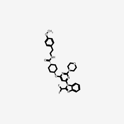 COc1ccc(CCNC(=O)[C@H]2CC[C@H](Oc3cc(-n4c(C(F)F)nc5ccccc54)nc(N4CCOCC4)n3)CC2)cc1